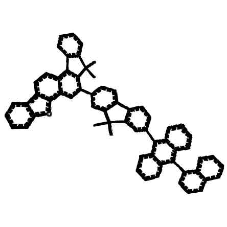 CC1(C)c2cc(-c3cc4c(ccc5c6ccccc6oc45)c4c3C(C)(C)c3ccccc3-4)ccc2-c2ccc(-c3c4ccccc4c(-c4cccc5ccccc45)c4ccccc34)cc21